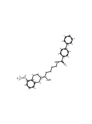 CCCN(CCCCNC(=O)c1ccc(-c2ccccc2)cc1)[C@@H]1CCc2c(cccc2OC(F)(F)F)C1